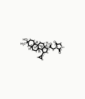 C[C@@]1(O)CC[C@H]2[C@H](CC[C@@H]3[C@@H]2CC[C@]2(C)[C@@H](C(=O)CN4C(=O)CSC4=O)CC(C4CC4)[C@@H]32)C1